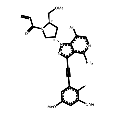 C=CC(=O)N1C[C@@H](n2nc(C#Cc3cc(OC)cc(OC)c3F)c3c(N)ncc(C(C)=O)c32)C[C@@H]1COC